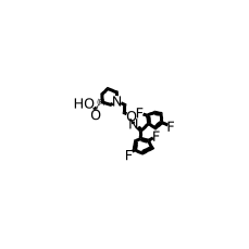 O=C(O)[C@@H]1CCCN(CCON=C(c2cc(F)ccc2F)c2cc(F)ccc2F)C1